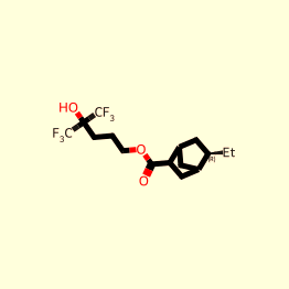 CC[C@@H]1CC2CC1CC2C(=O)OCCCC(O)(C(F)(F)F)C(F)(F)F